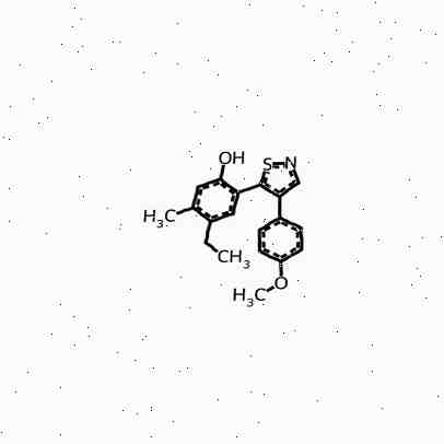 CCc1cc(-c2sncc2-c2ccc(OC)cc2)c(O)cc1C